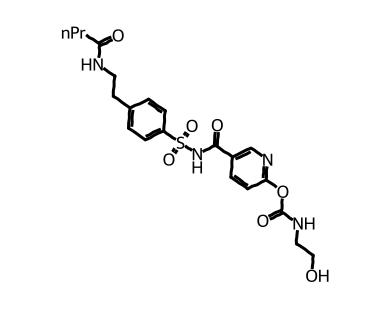 CCCC(=O)NCCc1ccc(S(=O)(=O)NC(=O)c2ccc(OC(=O)NCCO)nc2)cc1